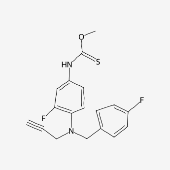 C#CCN(Cc1ccc(F)cc1)c1ccc(NC(=S)OC)cc1F